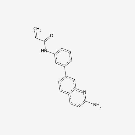 C=CC(=O)Nc1cccc(-c2ccc3ccc(N)nc3c2)c1